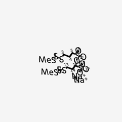 CSSSCCCS(=O)(=O)[O-].CSSSCCCS(=O)(=O)[O-].[Na+].[Na+]